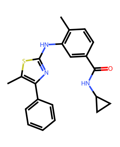 Cc1ccc(C(=O)NC2CC2)cc1Nc1nc(-c2ccccc2)c(C)s1